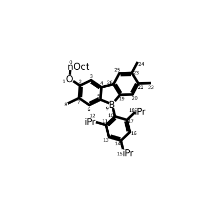 CCCCCCCCOc1cc2c(cc1C)B(c1c(C(C)C)cc(C(C)C)cc1C(C)C)c1cc(C)c(C)cc1-2